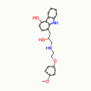 COc1ccc(OCCNCC(O)Cc2ccc(O)c3c2[nH]c2ccccc23)cc1